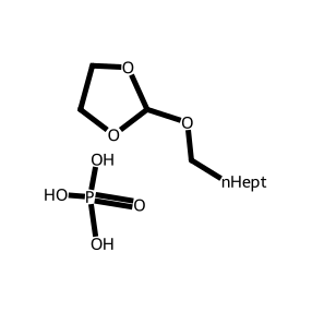 CCCCCCCCOC1OCCO1.O=P(O)(O)O